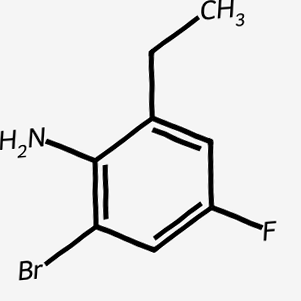 CCc1cc(F)cc(Br)c1N